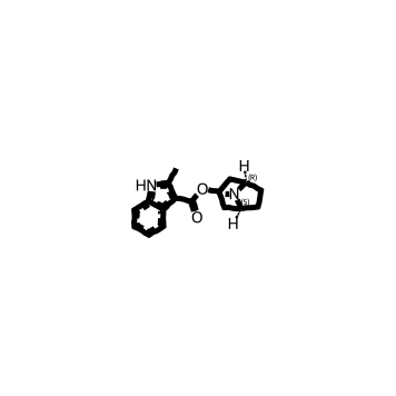 Cc1[nH]c2ccccc2c1C(=O)OC1C[C@H]2CC[C@@H](C1)N2C